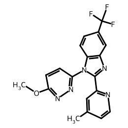 COc1ccc(-n2c(-c3cc(C)ccn3)nc3cc(C(F)(F)F)ccc32)nn1